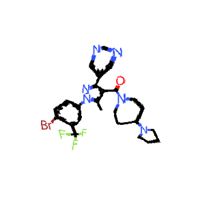 Cc1c(C(=O)N2CCC(N3CCCC3)CC2)c(-c2cncnc2)nn1-c1ccc(Br)c(C(F)(F)F)c1